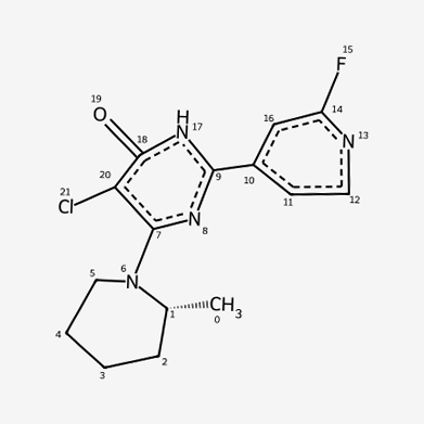 C[C@@H]1CCCCN1c1nc(-c2ccnc(F)c2)[nH]c(=O)c1Cl